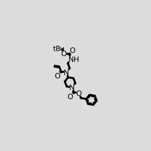 C=CC(=O)N(CCNC(=O)OC(C)(C)C)C1CCN(C(=O)OCc2ccccc2)CC1